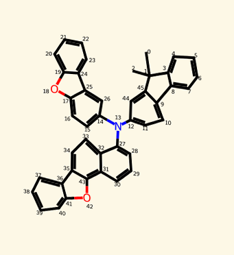 CC1(C)c2ccccc2-c2ccc(N(c3ccc4oc5ccccc5c4c3)c3cccc4c3ccc3c5ccccc5oc43)cc21